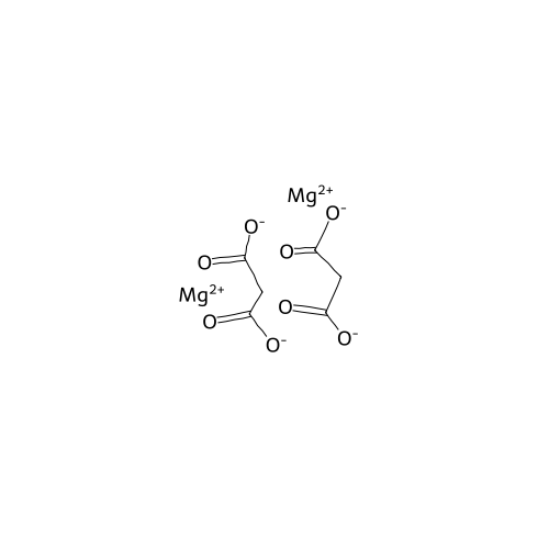 O=C([O-])CC(=O)[O-].O=C([O-])CC(=O)[O-].[Mg+2].[Mg+2]